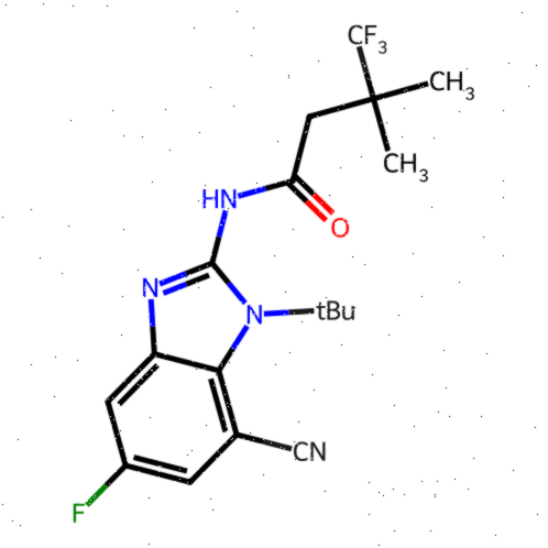 CC(C)(C)n1c(NC(=O)CC(C)(C)C(F)(F)F)nc2cc(F)cc(C#N)c21